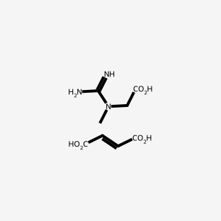 CN(CC(=O)O)C(=N)N.O=C(O)/C=C/C(=O)O